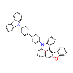 c1ccc(N(c2ccc(-c3ccc(-n4c5ccccc5c5ccccc54)cc3)cc2)c2ccccc2-c2cccc3oc4ccccc4c23)cc1